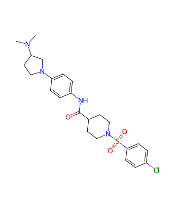 CN(C)C1CCN(c2ccc(NC(=O)C3CCN(S(=O)(=O)c4ccc(Cl)cc4)CC3)cc2)C1